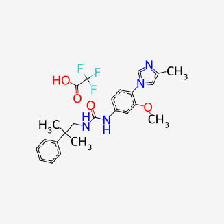 COc1cc(NC(=O)NCC(C)(C)c2ccccc2)ccc1-n1cnc(C)c1.O=C(O)C(F)(F)F